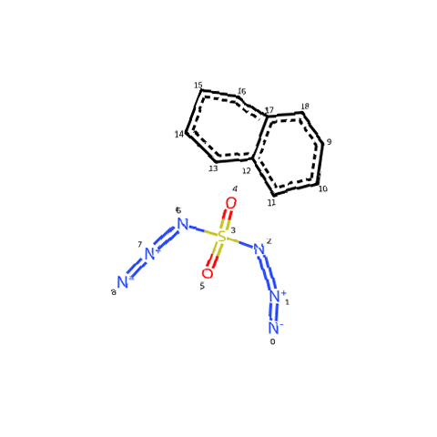 [N-]=[N+]=NS(=O)(=O)N=[N+]=[N-].c1ccc2ccccc2c1